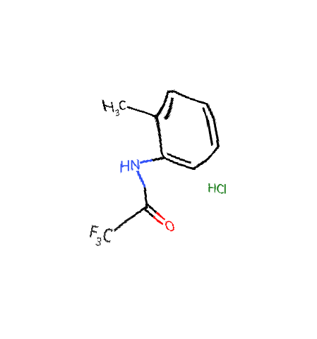 Cc1ccccc1NC(=O)C(F)(F)F.Cl